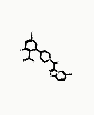 Cc1ccc2nnc(C(=O)N3CCC(c4cc(F)cc(F)c4C(F)F)CC3)n2c1